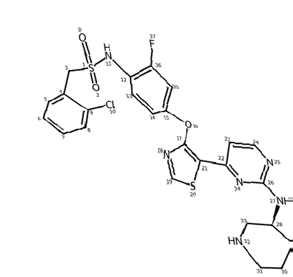 O=S(=O)(Cc1ccccc1Cl)Nc1ccc(Oc2ncsc2-c2ccnc(N[C@H]3CCCNC3)n2)cc1F